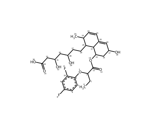 CCC(Oc1ccc(F)cc1F)C(=O)OC1CC(O)C=C2C=CC(C)C(CCC(O)CC(O)CC(=O)O)C21